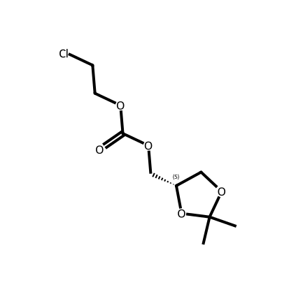 CC1(C)OC[C@@H](COC(=O)OCCCl)O1